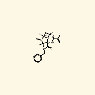 C=C(C)C(=O)N[C@@]1(C(=O)OCc2ccccc2)N2C(=O)C[C@H]2[S+]([O-])C1(C)C